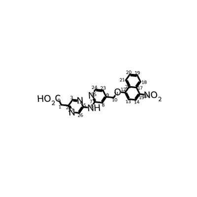 O=C(O)Cc1cnc(Nc2cc(COc3ccc([N+](=O)[O-])c4ccccc34)ccn2)cn1